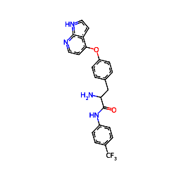 NC(Cc1ccc(Oc2ccnc3[nH]ccc23)cc1)C(=O)Nc1ccc(C(F)(F)F)cc1